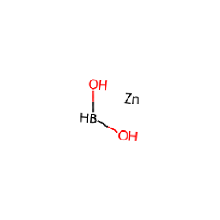 OBO.[Zn]